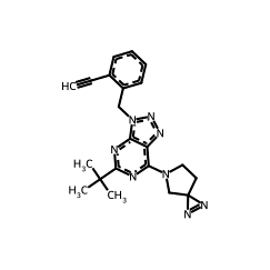 C#Cc1ccccc1Cn1nnc2c(N3CCC4(C3)N=N4)nc(C(C)(C)C)nc21